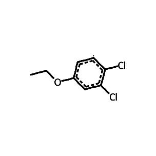 CCOc1c[c]c(Cl)c(Cl)c1